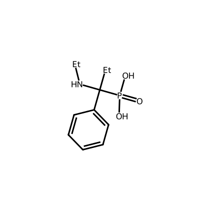 CCNC(CC)(c1ccccc1)P(=O)(O)O